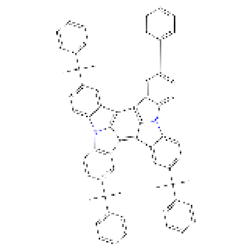 CC(C)(c1ccccc1)c1ccc2c(c1)c1c3c4cc(C(C)(C)c5ccccc5)ccc4n4c5ccc(C(C)(C)c6ccccc6)cc5c(c5c6cc(C(C)(C)c7ccccc7)ccc6n2c15)c34